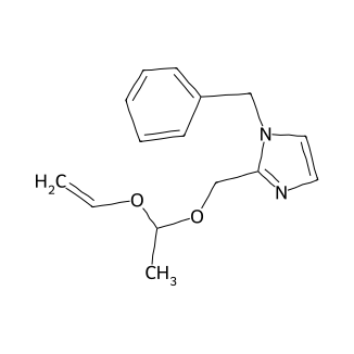 C=COC(C)OCc1nccn1Cc1ccccc1